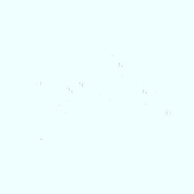 CCC/C(=C\c1nnc(-c2ccc(CN3CC(C)C3)c3ncccc23)o1)c1ccccc1